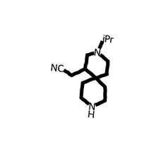 CC(C)N1CCC2(CCNCC2)C(CC#N)C1